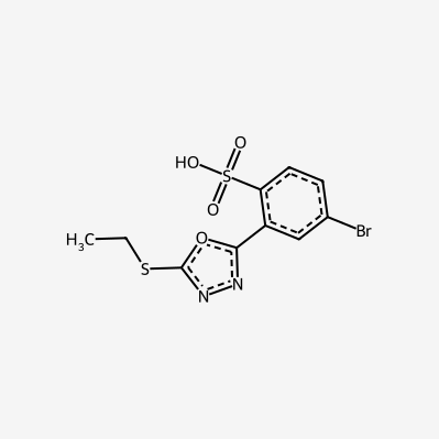 CCSc1nnc(-c2cc(Br)ccc2S(=O)(=O)O)o1